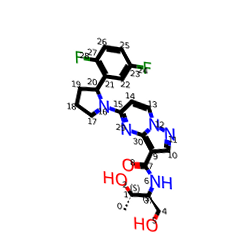 C[C@H](O)[C@H](CO)NC(=O)c1cnn2ccc(N3CCCC3c3cc(F)ccc3F)nc12